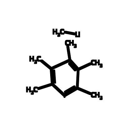 Cc1[c]c(C)c(C)c(C)c1C.[Li][CH3]